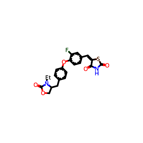 CCN1C(=O)OCC1Cc1ccc(Oc2ccc(C=C3SC(=O)NC3=O)cc2F)cc1